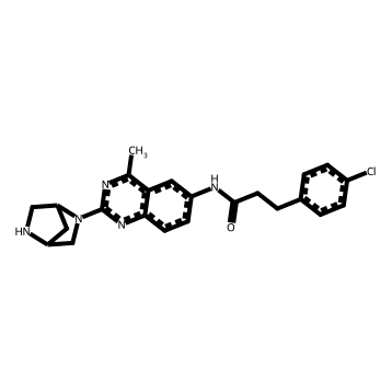 Cc1nc(N2CC3CC2CN3)nc2ccc(NC(=O)CCc3ccc(Cl)cc3)cc12